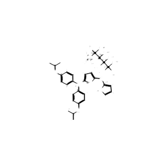 CC(C)Oc1ccc([S+](c2ccc(OC(C)C)cc2)c2ccc(Sc3cccs3)s2)cc1.O=S(=O)([O-])C(F)(F)C(F)(F)C(F)(F)C(F)(F)F